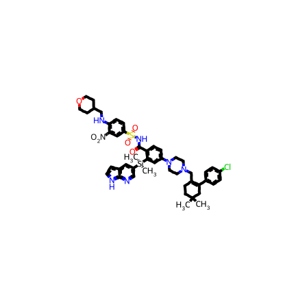 CC1(C)CCC(CN2CCN(c3ccc(C(=O)NS(=O)(=O)c4ccc(NCC5CCOCC5)c([N+](=O)[O-])c4)c([Si](C)(C)c4cnc5[nH]ccc5c4)c3)CC2)=C(c2ccc(Cl)cc2)C1